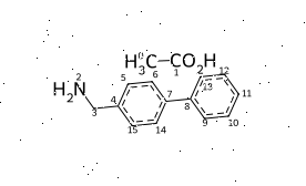 CC(=O)O.NCc1ccc(-c2ccccc2)cc1